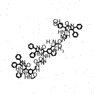 COc1ccc(-c2c(Nc3ccn(COC(=O)[C@@H](N)C(C)Cc4cc(-c5c(Nc6nnc(C(=O)NCCc7cc(-c8c(Nc9ccccn9)[nH]c9c(-c%10ccccc%10)c(-c%10ccccc%10)nn9c8=O)cc8c7OCCN8)o6)[nH]c6c(-c7ccccc7)c(-c7ccccc7)nn6c5=O)cc5cccnc45)n3)[nH]c3c(-c4ccccc4)c(-c4ccccc4)nn3c2=O)cc1